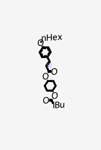 CCCCCCOc1ccc(/C=C/C(=O)O[C@H]2CC[C@H](OC(=O)C(C)CC)CC2)cc1